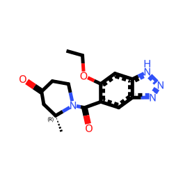 CCOc1cc2[nH]nnc2cc1C(=O)N1CCC(=O)C[C@H]1C